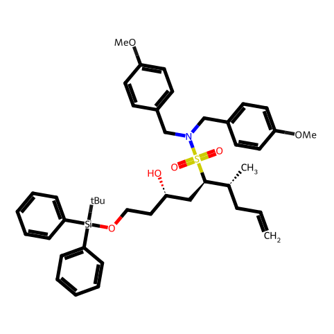 C=CC[C@@H](C)[C@@H](C[C@@H](O)CCO[Si](c1ccccc1)(c1ccccc1)C(C)(C)C)S(=O)(=O)N(Cc1ccc(OC)cc1)Cc1ccc(OC)cc1